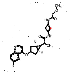 COCC(=O)NC12CC(NC(=O)C(C)C3[C@H]4CC(Oc5ccnc6ccc(F)cc56)C[C@@H]34)(C1)C2